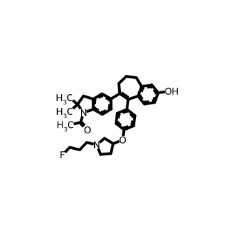 CC(=O)N1c2ccc(C3=C(c4ccc(OC5CCN(CCCF)C5)cc4)c4ccc(O)cc4CCC3)cc2CC1(C)C